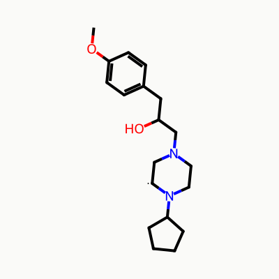 COc1ccc(CC(O)CN2C[CH]N(C3CCCC3)CC2)cc1